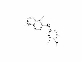 Cc1cc(Oc2ccc3[nH]ccc3c2C)ccc1F